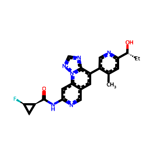 CC[C@@H](O)c1cc(C)c(-c2cc3cnc(NC(=O)[C@H]4C[C@H]4F)cc3n3ncnc23)cn1